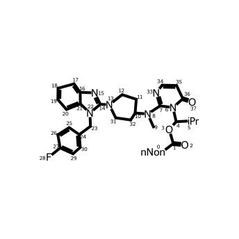 CCCCCCCCCC(=O)OC(C(C)C)n1c(N(C)C2CCN(c3nc4ccccc4n3Cc3ccc(F)cc3)CC2)nccc1=O